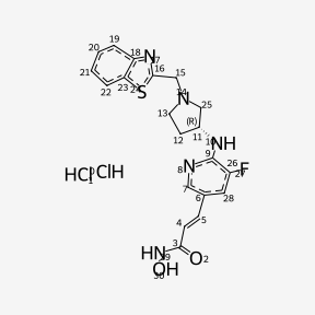 Cl.Cl.O=C(C=Cc1cnc(N[C@@H]2CCN(Cc3nc4ccccc4s3)C2)c(F)c1)NO